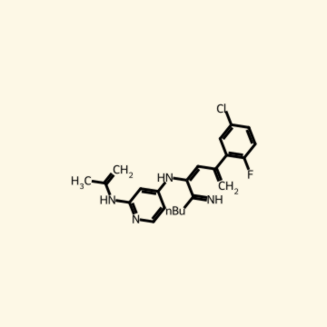 C=C(C)Nc1cc(N/C(=C/C(=C)c2cc(Cl)ccc2F)C(=N)CCCC)ccn1